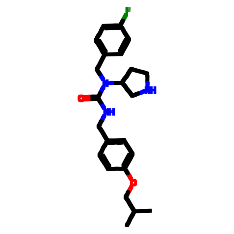 CC(C)COc1ccc(CNC(=O)N(Cc2ccc(F)cc2)C2CCNC2)cc1